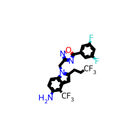 Nc1ccc2c(cc(CCC(F)(F)F)n2Cc2noc(-c3cc(F)cc(F)c3)n2)c1C(F)(F)F